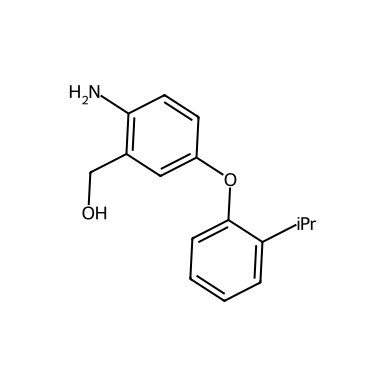 CC(C)c1ccccc1Oc1ccc(N)c(CO)c1